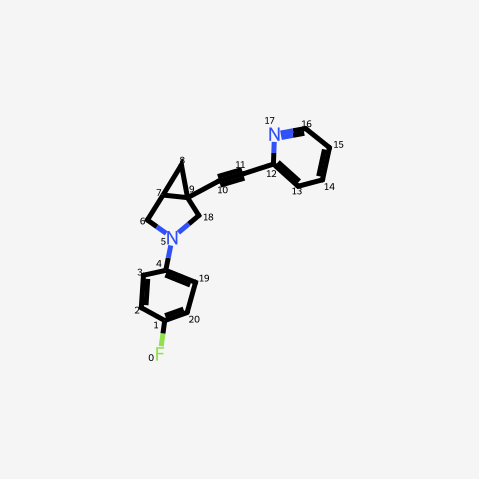 Fc1ccc(N2CC3CC3(C#Cc3ccccn3)C2)cc1